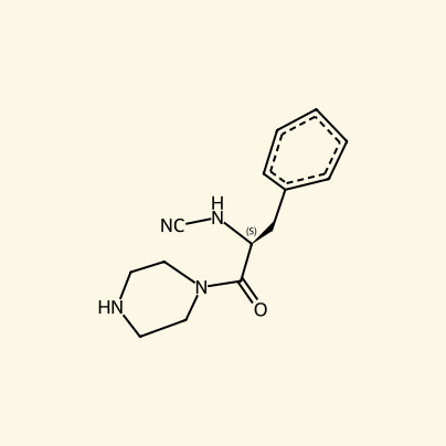 N#CN[C@@H](Cc1ccccc1)C(=O)N1CCNCC1